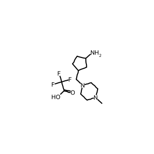 CN1CCN(CC2CCC(N)C2)CC1.O=C(O)C(F)(F)F